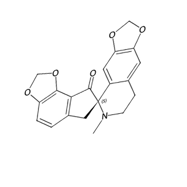 CN1CCc2cc3c(cc2[C@]12Cc1ccc4c(c1C2=O)OCO4)OCO3